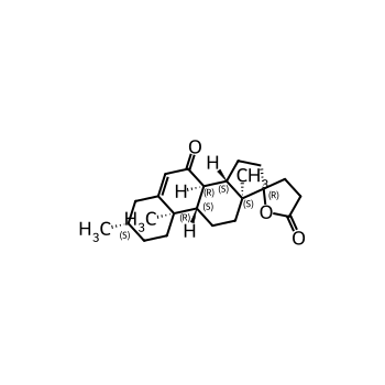 C[C@H]1CC[C@@]2(C)C(=CC(=O)[C@@H]3[C@@H]2CC[C@@]2(C)[C@H]3CC[C@@]23CCC(=O)O3)C1